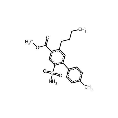 CCCCc1cc(-c2ccc(C)cc2)c(S(N)(=O)=O)cc1C(=O)OC